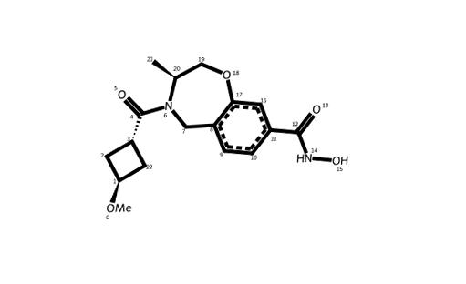 CO[C@H]1C[C@H](C(=O)N2Cc3ccc(C(=O)NO)cc3OC[C@@H]2C)C1